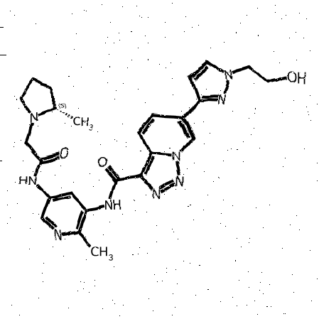 Cc1ncc(NC(=O)CN2CCC[C@@H]2C)cc1NC(=O)c1nnn2cc(-c3ccn(CCO)n3)ccc12